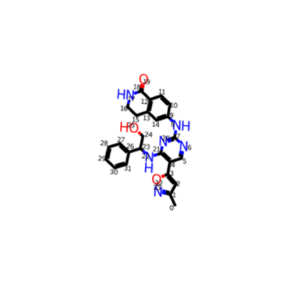 Cc1cc(-c2cnc(Nc3ccc4c(c3)CCNC4=O)nc2NC(CO)c2ccccc2)on1